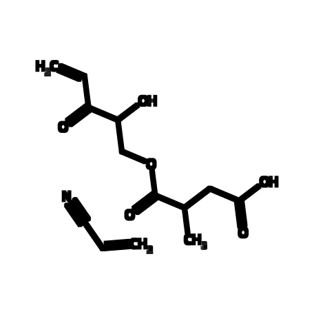 C=CC#N.C=CC(=O)C(O)COC(=O)C(C)CC(=O)O